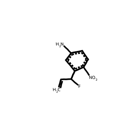 C=CC(F)c1cc(N)ccc1[N+](=O)[O-]